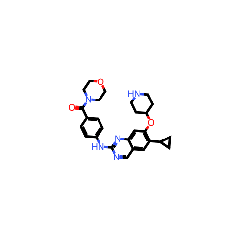 O=C(c1ccc(Nc2ncc3cc(C4CC4)c(OC4CCNCC4)cc3n2)cc1)N1CCOCC1